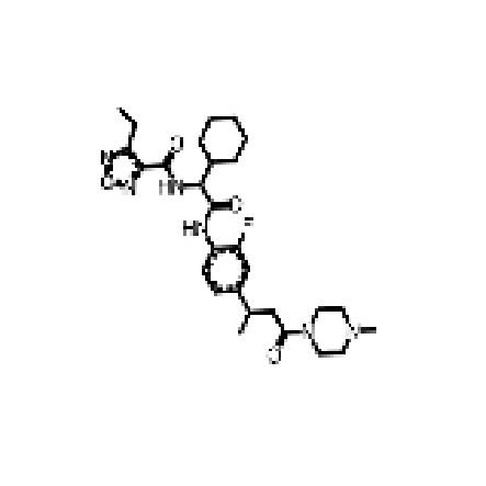 CCc1nonc1C(=O)NC(C(=O)Nc1ccc(C(C)CC(=O)N2CCN(C)CC2)cc1F)C1CCCCC1